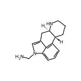 NCn1cc2c3c(cccc31)[C@H]1CCCN[C@@H]1C2